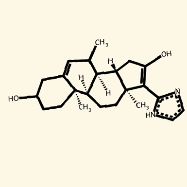 CC1C=C2CC(O)CC[C@]2(C)[C@@H]2CC[C@]3(C)C(c4ncc[nH]4)=C(O)C[C@H]3[C@H]12